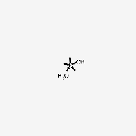 CP(C)(C)(C)O.O